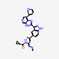 C=N/C=C(\C=C(/C)c1ccc2[nH]nc(-c3nc4c(-c5cccnc5)cncc4[nH]3)c2c1)NC(=O)C1CC1